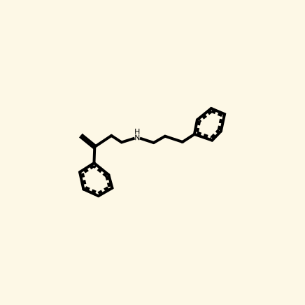 C=C(CCNCCCc1ccccc1)c1ccccc1